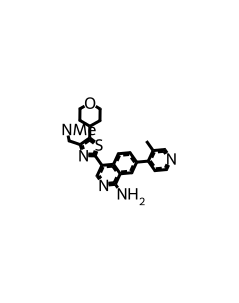 CNCc1nc(-c2cnc(N)c3cc(-c4ccncc4C)ccc23)sc1C1CCOCC1